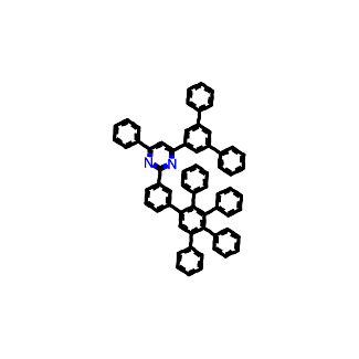 c1ccc(-c2cc(-c3ccccc3)cc(-c3cc(-c4ccccc4)nc(-c4cccc(-c5cc(-c6ccccc6)c(-c6ccccc6)c(-c6ccccc6)c5-c5ccccc5)c4)n3)c2)cc1